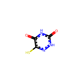 O=c1[nH]nc(S)c(=O)[nH]1